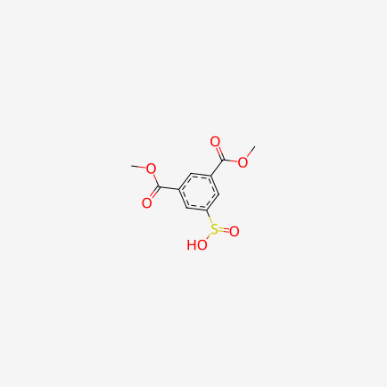 COC(=O)c1cc(C(=O)OC)cc(S(=O)O)c1